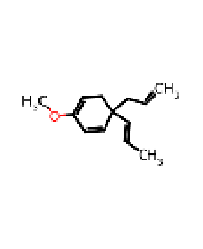 C=CCC1(C=CC)C=CC(OC)=CC1